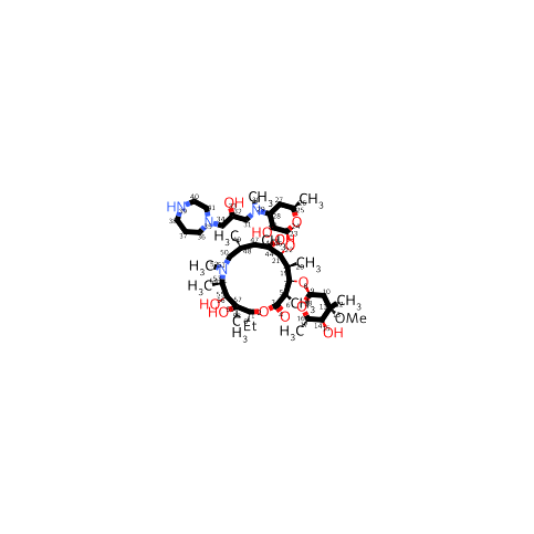 CC[C@H]1OC(=O)[C@H](C)[C@@H](O[C@H]2C[C@@](C)(OC)[C@@H](O)[C@H](C)O2)[C@H](C)[C@@H](O[C@@H]2O[C@H](C)CC(N(C)CC(O)CN3CCCNCC3)[C@H]2O)[C@](C)(O)C[C@@H](C)CN(C)[C@H](C)[C@@H](O)[C@]1(C)O